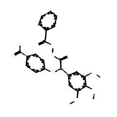 COc1cc(C(Nc2ccc(C(=N)N)cc2)C(=O)NNC(=O)c2ccccc2)cc(OC)c1OC